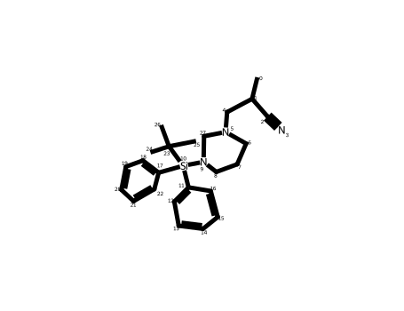 CC(C#N)CN1CCCN([Si](c2ccccc2)(c2ccccc2)C(C)(C)C)C1